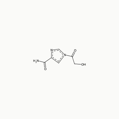 NC(=O)c1cn(C(=O)CO)cn1